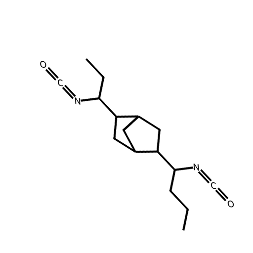 CCCC(N=C=O)C1CC2CC1CC2C(CC)N=C=O